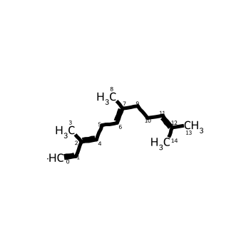 [CH]=C/C(C)=C/C/C=C(\C)CCC=C(C)C